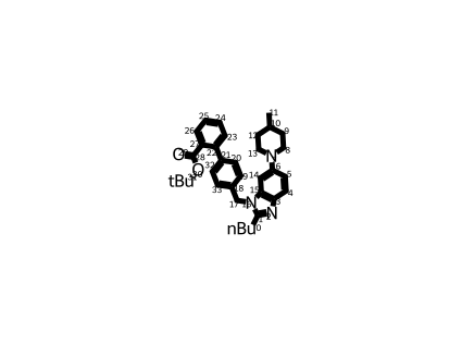 CCCCc1nc2ccc(N3CCC(C)CC3)cc2n1Cc1ccc(-c2ccccc2C(=O)OC(C)(C)C)cc1